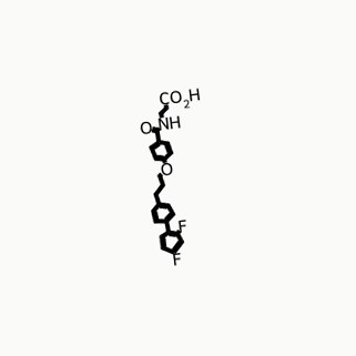 O=C(O)CCNC(=O)c1ccc(OCCCc2ccc(-c3ccc(F)cc3F)cc2)cc1